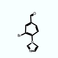 O=Cc1ccc(-n2ccnc2)c(Br)c1